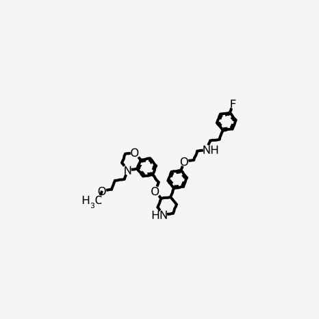 COCCCN1CCOc2ccc(COC3CNCCC3c3ccc(OCCNCCc4ccc(F)cc4)cc3)cc21